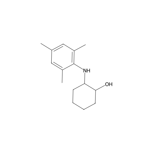 Cc1cc(C)c(NC2CCCCC2O)c(C)c1